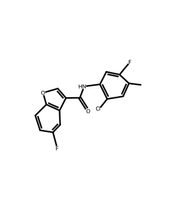 Cc1cc(Cl)c(NC(=O)c2coc3ccc(F)cc23)cc1F